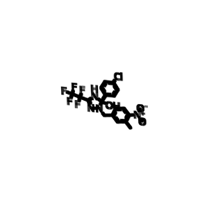 Cc1cc(CN2N=C(C(F)(F)C(F)(F)F)NC2(O)c2ccc(Cl)cc2)ccc1[N+](=O)[O-]